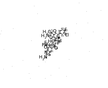 C[C@]1(C(N)=O)COc2c1cc([C@@](O)(CNC(=O)c1cc(OC(F)(F)F)c3nc(N)sc3c1)C(F)(F)F)nc2-c1ccc(F)c(Cl)c1